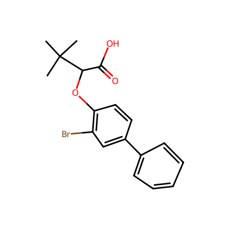 CC(C)(C)C(Oc1ccc(-c2ccccc2)cc1Br)C(=O)O